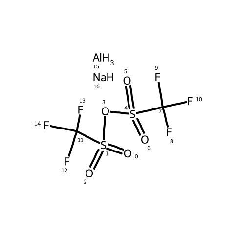 O=S(=O)(OS(=O)(=O)C(F)(F)F)C(F)(F)F.[AlH3].[NaH]